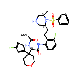 COC(=O)N[C@H](C(=O)Nc1cccc(F)c1CC[C@H]1CNC[C@@H](C)N1S(=O)(=O)c1ccccc1)C1(C2=CC(F)=CC2)CCOCC1